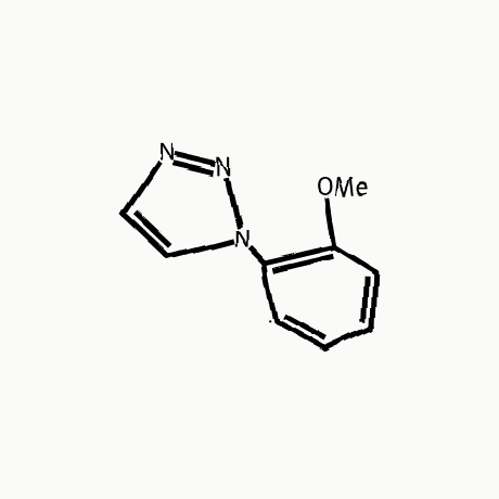 COc1ccc[c]c1-n1ccnn1